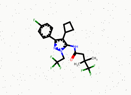 CC(C)(CC(=O)Nc1c(C2CCC2)c(-c2ccc(F)cc2)nn1CC(F)(F)F)C(F)(F)F